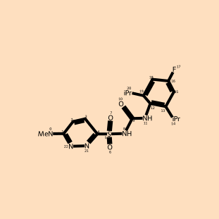 CNc1ccc(S(=O)(=O)NC(=O)Nc2c(C(C)C)cc(F)cc2C(C)C)nn1